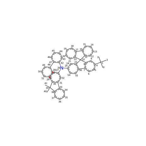 CC(C)(C)c1ccc2c(c1)C1(c3ccccc3-c3ccccc31)c1cc(N(c3ccc4c(c3)-c3ccccc3C4(C)C)c3ccccc3-c3ccccc3)ccc1-2